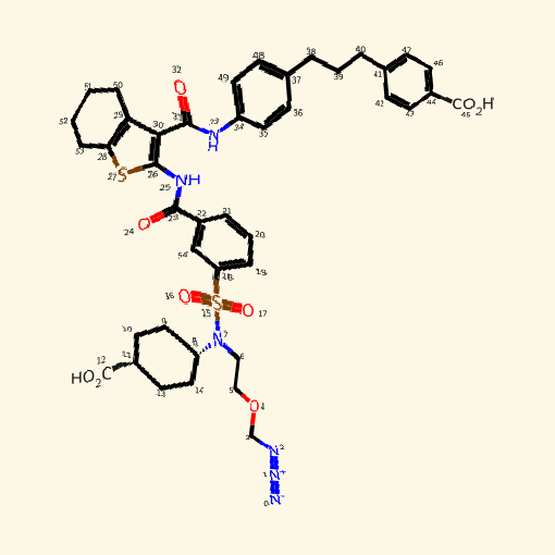 [N-]=[N+]=NCOCCN([C@H]1CC[C@H](C(=O)O)CC1)S(=O)(=O)c1cccc(C(=O)Nc2sc3c(c2C(=O)Nc2ccc(CCCc4ccc(C(=O)O)cc4)cc2)CCCC3)c1